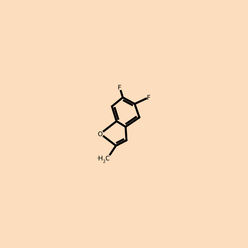 [CH2]c1cc2cc(F)c(F)cc2o1